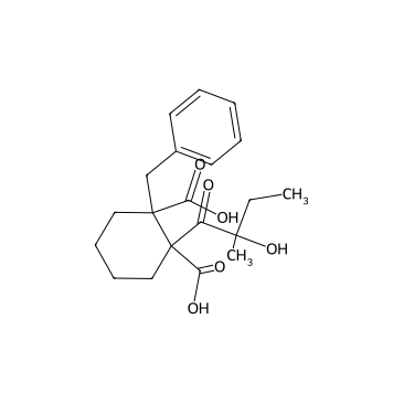 CCC(C)(O)C(=O)C1(C(=O)O)CCCCC1(Cc1ccccc1)C(=O)O